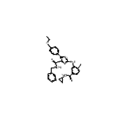 CCSc1ccc(-c2nc(Nc3cc(C(=O)NC4CC4)ccc3C)sc2C(=O)NCc2ccccc2)cc1